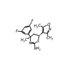 Cc1noc(C)c1[C@@H]1C[C@@](C)(c2cc(F)cc(F)c2)N=C(N)S1